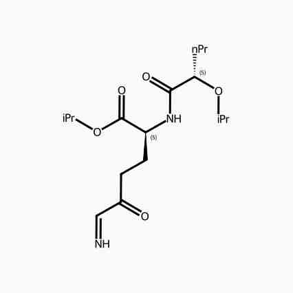 CCC[C@H](OC(C)C)C(=O)N[C@@H](CCC(=O)C=N)C(=O)OC(C)C